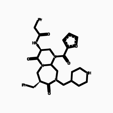 CC(C)CC(=O)N[C@H]1CN(C(=O)c2ccco2)C2CN(CC3CCNCC3)C(=O)[C@H](CC(C)C)CN2C1=O